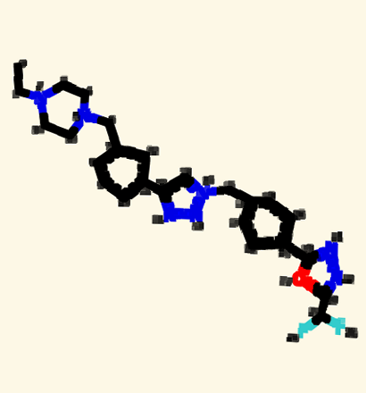 CCN1CCN(Cc2cccc(-c3cn(Cc4ccc(-c5nnc(C(F)F)o5)cc4)nn3)c2)CC1